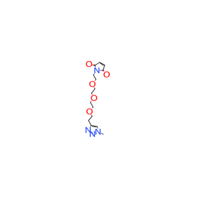 Cn1cc(CCOCCOCCOCCN2C(=O)C=CC2=O)nn1